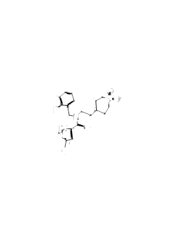 O=C(c1cc(Cl)n[nH]1)N(CCC1CCS(=O)(=O)CC1)Cc1ccccc1F